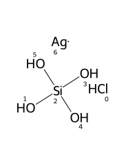 Cl.O[Si](O)(O)O.[Ag]